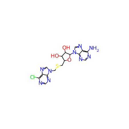 Nc1ncnc2c1ncn2C1OC(CSCn2cnc3c(Cl)ncnc32)C(O)C1O